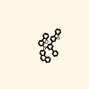 c1ccc(-c2cc(-c3ccc4c(c3)sc3ccccc34)cc(N(c3ccc4ccc5ccccc5c4c3)c3cccc4c3oc3ccccc34)c2)cc1